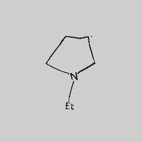 CCN1C[CH]CC1